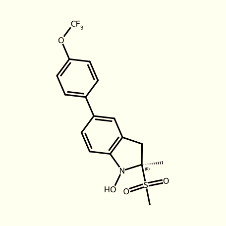 C[C@@]1(S(C)(=O)=O)Cc2cc(-c3ccc(OC(F)(F)F)cc3)ccc2N1O